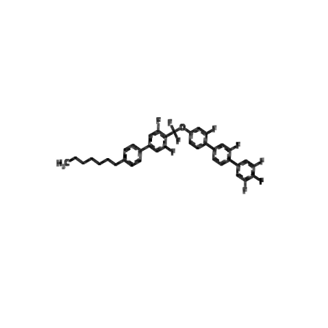 CCCCCCCc1ccc(-c2cc(F)c(C(F)(F)Oc3ccc(-c4ccc(-c5cc(F)c(F)c(F)c5)c(F)c4)c(F)c3)c(F)c2)cc1